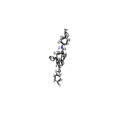 Cc1ccc(CSc2nn3c(=O)cc(/C=C/c4ccc(F)cc4)nc3s2)cc1